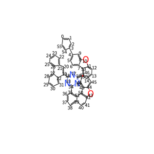 c1ccc(-c2ccc3c(c2)oc2cccc(-c4nc(-c5cc6ccccc6c6ccccc56)nc(-c5cccc6ccc7oc8ccccc8c7c56)n4)c23)cc1